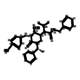 C[C@H](c1ccccc1)N1CC(N(C(=O)NCc2ccccc2)N(C)C)N(C=O)[C@@H](Cc2ccc(O)cc2)C1=O